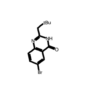 CC(C)(C)Cc1nc2ccc(Br)cc2c(=O)[nH]1